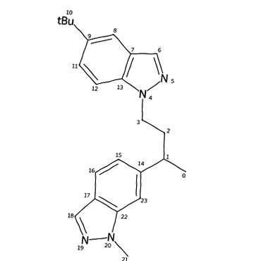 CC(CCn1ncc2cc(C(C)(C)C)ccc21)c1ccc2cnn(C)c2c1